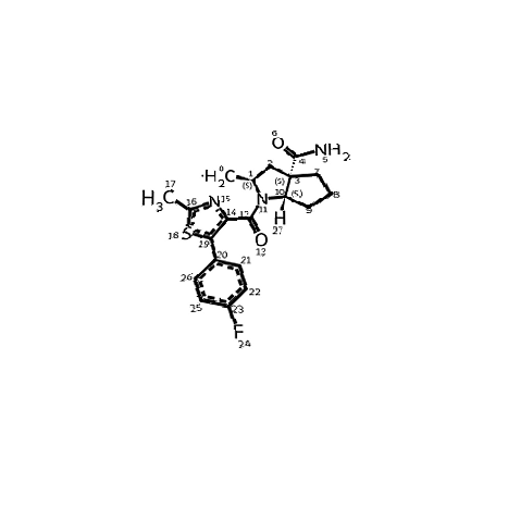 [CH2][C@H]1C[C@@]2(C(N)=O)CCC[C@@H]2N1C(=O)c1nc(C)sc1-c1ccc(F)cc1